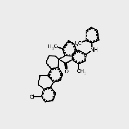 Cc1ccccc1Nc1ccc(C(=O)C2(c3ccccc3C)CCCc3c2ccc2c3CCc3c(Cl)cccc3-2)c(C)c1